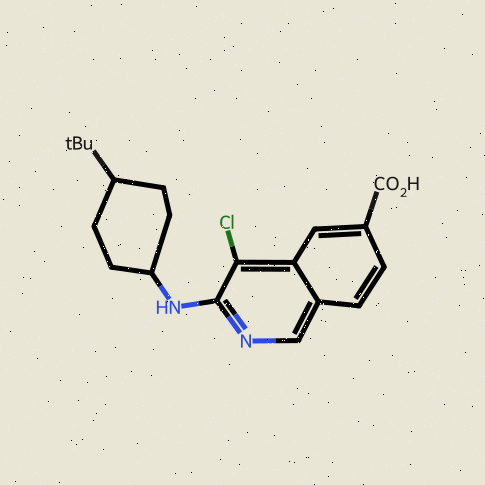 CC(C)(C)C1CCC(Nc2ncc3ccc(C(=O)O)cc3c2Cl)CC1